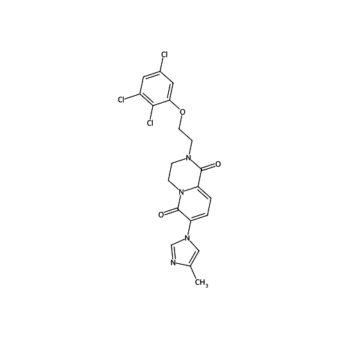 Cc1cn(-c2ccc3n(c2=O)CCN(CCOc2cc(Cl)cc(Cl)c2Cl)C3=O)cn1